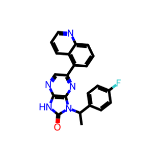 CC(c1ccc(F)cc1)n1c(=O)[nH]c2ncc(-c3cccc4ncccc34)nc21